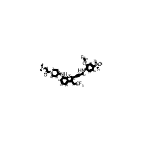 CN(C)CC(=O)N1CCC(Nc2cccc3c(CC(F)(F)F)c(C#CCNc4ccc(P(C)(C)=O)cc4OCF)sc23)CC1